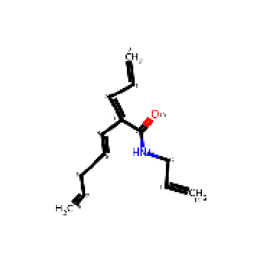 C=CC=C(C=CCC=C)C(=O)NCC=C